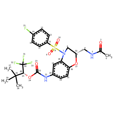 CC(=O)NC[C@H]1CN(S(=O)(=O)c2ccc(F)cc2)c2cc(NC(=O)O[C@H](C(C)(C)C)C(F)(F)F)ccc2O1